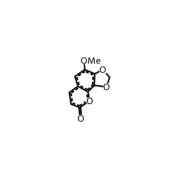 COc1cc2ccc(=O)oc2c2c1OCO2